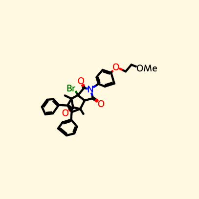 COCCOc1ccc(N2C(=O)C3C4(C)C(=O)C(C)(C(c5ccccc5)=C4c4ccccc4)C3(Br)C2=O)cc1